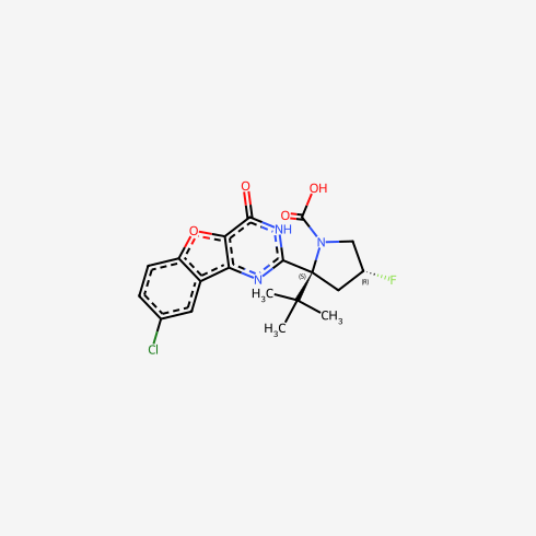 CC(C)(C)[C@]1(c2nc3c(oc4ccc(Cl)cc43)c(=O)[nH]2)C[C@@H](F)CN1C(=O)O